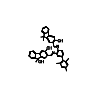 Cc1cc(C)c(-c2ccc(/N=C/c3cc4c(cc3O)-c3ccccc3C4(C)C)c(/N=C/c3cc4c(cc3O)-c3ccccc3C4(C)O)c2)c(C)c1